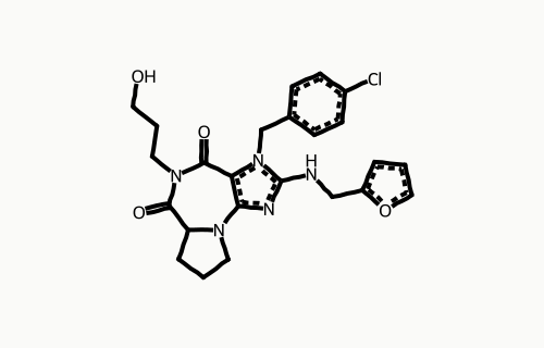 O=C1c2c(nc(NCc3ccco3)n2Cc2ccc(Cl)cc2)N2CCCC2C(=O)N1CCCO